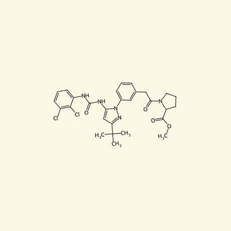 COC(=O)C1CCCN1C(=O)Cc1cccc(-n2nc(C(C)(C)C)cc2NC(=O)Nc2cccc(Cl)c2Cl)c1